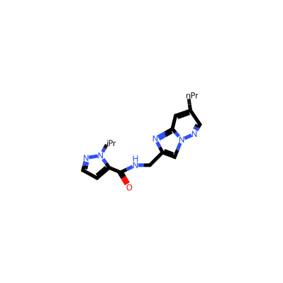 CCCc1cnn2cc(CNC(=O)c3ccnn3C(C)C)nc2c1